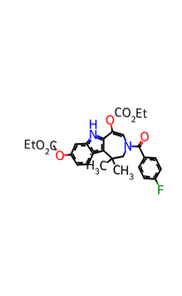 CCOC(=O)OC1=CN(C(=O)c2ccc(F)cc2)CC(C)(C)c2c1[nH]c1cc(OC(=O)OCC)ccc21